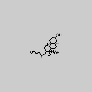 C[C@H](CCC=O)[C@H]1CC[C@H]2[C@@H]3[C@H](O)C[C@@H]4C[C@H](O)CC[C@]4(C)[C@H]3CC[C@]12C